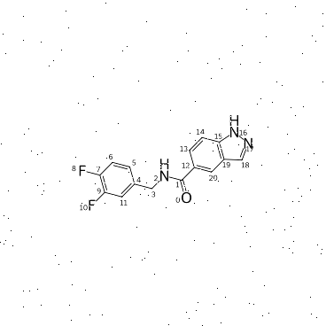 O=C(NCc1ccc(F)c(F)c1)c1ccc2[nH]ncc2c1